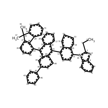 CCc1nc2ccccc2n1-c1ccc(-c2c3ccccc3c(-c3cccc4c3-c3ccccc3C4(C)C)c3cc(-c4ccccc4)ccc23)c2ccccc12